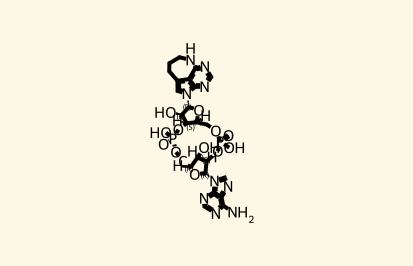 Nc1ncnc2c1ncn2[C@@H]1O[C@@H]2COP(=O)(O)O[C@H]3[C@@H](O)[C@H](n4cc5c6c(ncnc64)NCCC5)O[C@@H]3COP(=O)(O)O[C@@H]1[C@@H]2O